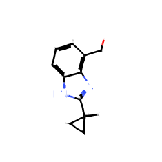 CC1(c2nc3c(C[O])cccc3[nH]2)CC1